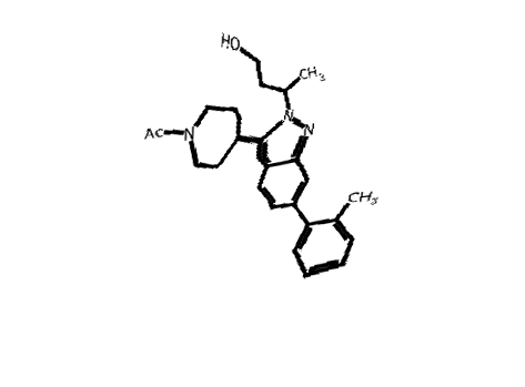 CC(=O)N1CCC(c2c3ccc(-c4ccccc4C)cc3nn2C(C)CCO)CC1